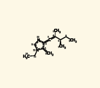 C=c1c(=C=C(C)[C@H](C)CC)ncn1CC